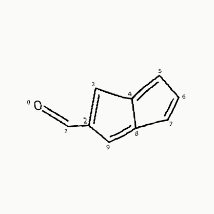 O=CC1=CC2=CC=CC2=C1